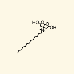 CCCCCCCCCCCCC[N+](C)(C)C(CCO)(CCO)C(=O)[O-]